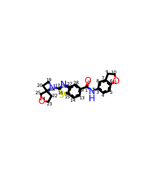 O=C(Nc1ccc2c(c1)CCO2)c1ccc2sc(N3CCC34CCOC4)nc2c1